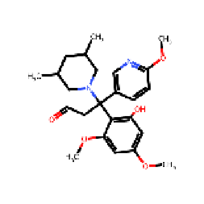 COc1cc(O)c(C(CC=O)(c2ccc(OC)nc2)N2CC(C)CC(C)C2)c(OC)c1